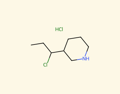 CCC(Cl)C1CCCNC1.Cl